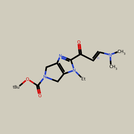 CCn1c(C(=O)/C=C/N(C)C)nc2c1CN(C(=O)OC(C)(C)C)C2